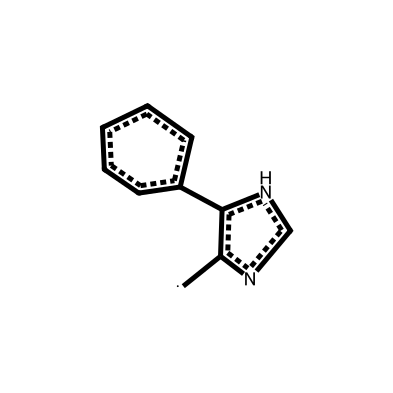 [CH2]c1nc[nH]c1-c1ccccc1